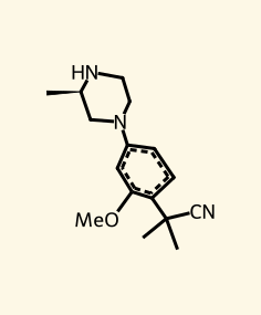 COc1cc(N2CCN[C@H](C)C2)ccc1C(C)(C)C#N